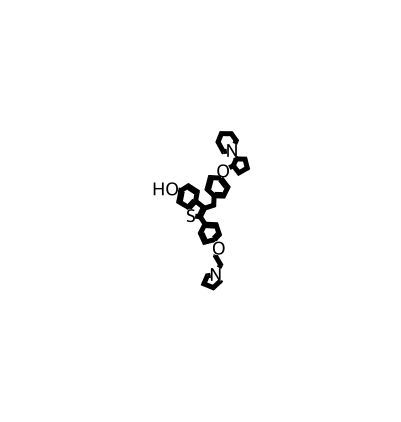 Oc1ccc2c(Cc3ccc(OC4CCCC4N4CCCCC4)cc3)c(-c3ccc(OCCN4CCCC4)cc3)sc2c1